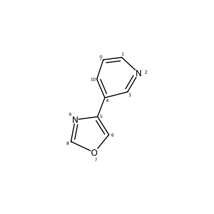 [c]1cncc(-c2cocn2)c1